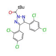 CC(C)(C)C(=O)n1nc(-c2ccc(Cl)cc2Cl)c(-c2ccc(Cl)cc2Cl)n1